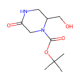 CC(C)(C)OC(=O)N1CC(=O)NCC1CO